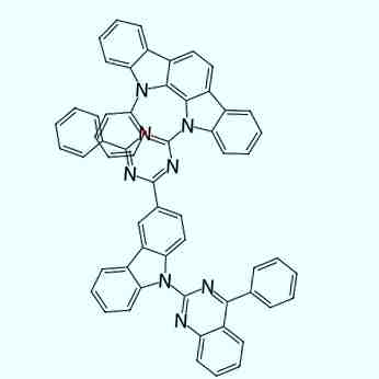 c1ccc(-c2nc(-c3ccc4c(c3)c3ccccc3n4-c3nc(-c4ccccc4)c4ccccc4n3)nc(-n3c4ccccc4c4ccc5c6ccccc6n(-c6ccccc6)c5c43)n2)cc1